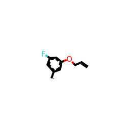 [CH2]c1cc(F)cc(OCC=C)c1